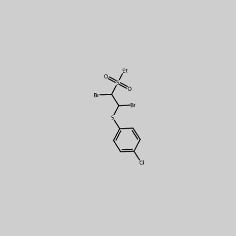 CCS(=O)(=O)C(Br)C(Br)Sc1ccc(Cl)cc1